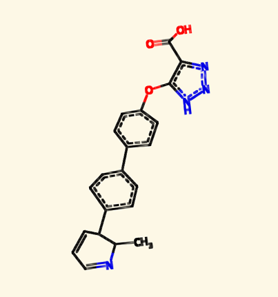 CC1N=CC=CC1c1ccc(-c2ccc(Oc3[nH]nnc3C(=O)O)cc2)cc1